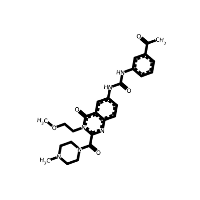 COCCn1c(C(=O)N2CCN(C)CC2)nc2ccc(NC(=O)Nc3cccc(C(C)=O)c3)cc2c1=O